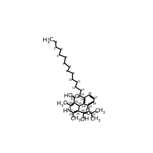 CCCCCCCCCCCCCCCc1cccc(OC(C)C)c1C1C(C(=O)O)=C(C)NC(C)=C1C(=O)O